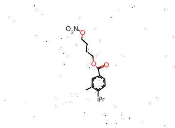 Cc1cc(C(=O)OCCCCO[N+](=O)[O-])ccc1C(C)C